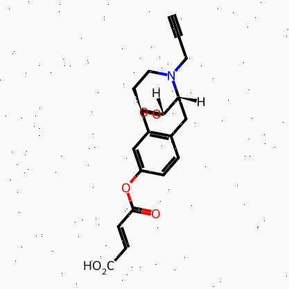 C#CCN1CC[C@]23COCO[C@H]2[C@H]1Cc1ccc(OC(=O)/C=C/C(=O)O)cc13